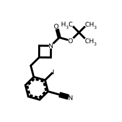 CC(C)(C)OC(=O)N1CC(Cc2cccc(C#N)c2I)C1